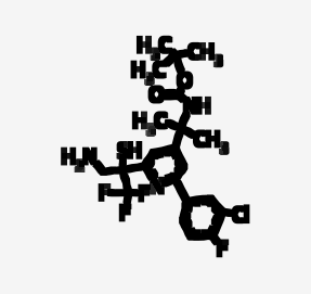 CC(C)(C)OC(=O)NC(C)(C)c1cc(-c2ccc(F)c(Cl)c2)nc(C(S)(CN)C(F)(F)F)c1